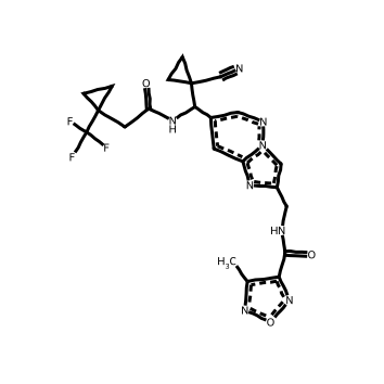 Cc1nonc1C(=O)NCc1cn2ncc(C(NC(=O)CC3(C(F)(F)F)CC3)C3(C#N)CC3)cc2n1